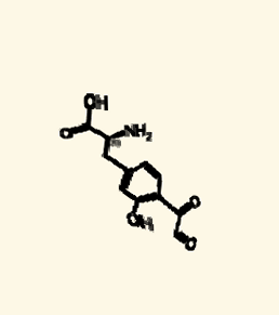 N[C@@H](Cc1ccc(C(=O)C=O)c(O)c1)C(=O)O